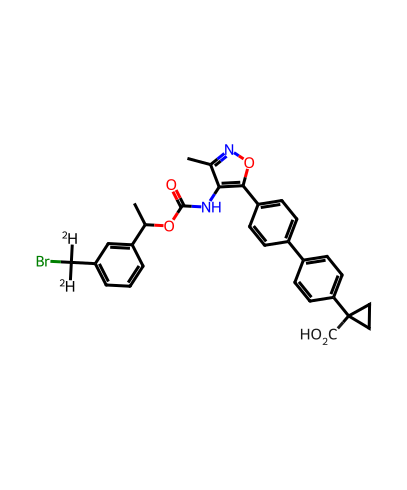 [2H]C([2H])(Br)c1cccc(C(C)OC(=O)Nc2c(C)noc2-c2ccc(-c3ccc(C4(C(=O)O)CC4)cc3)cc2)c1